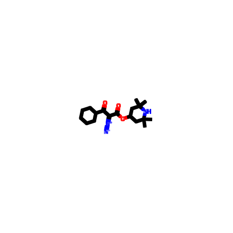 CC1(C)CC(OC(=O)C(=[N+]=[N-])C(=O)C2CCCCC2)CC(C)(C)N1